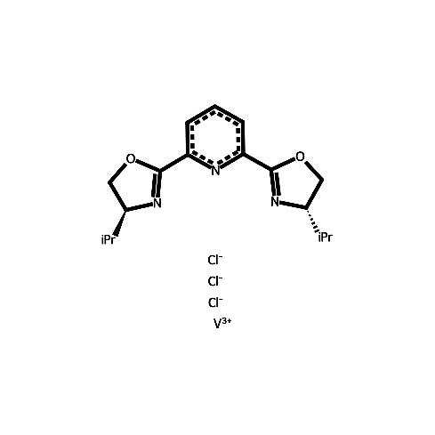 CC(C)[C@H]1COC(c2cccc(C3=N[C@@H](C(C)C)CO3)n2)=N1.[Cl-].[Cl-].[Cl-].[V+3]